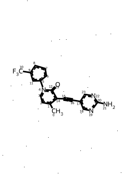 Cc1ccn(-c2cccc(C(F)(F)F)c2)c(=O)c1C#Cc1cnc(N)nc1